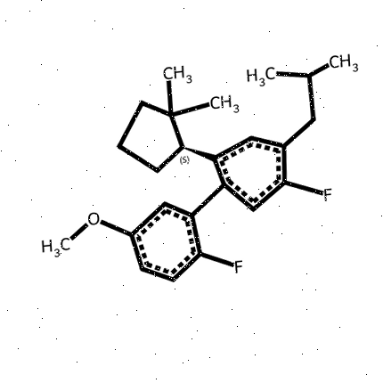 COc1ccc(F)c(-c2cc(F)c(CC(C)C)cc2[C@H]2CCCC2(C)C)c1